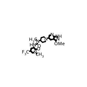 COc1n[nH]c2ncc(N3CCC(N(C)C(=O)Nc4cc(C(F)(F)F)cn(C)c4=O)CC3)cc12